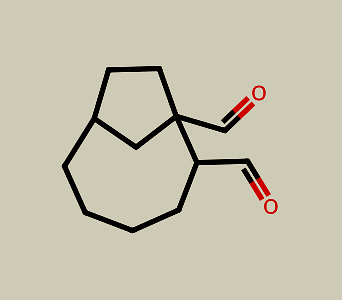 O=CC1CCCCC2CCC1(C=O)C2